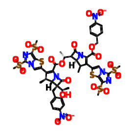 CC1C(c2cn3c(S(C)(=O)=O)nc(S(C)(=O)=O)c3s2)=C(C(=O)OCc2ccc([N+](=O)[O-])cc2)N2C(=O)C([C@@H](C)OC(=O)C3=C(c4cn5c(S(C)(=O)=O)nc(S(C)(=O)=O)c5s4)[C@H](C)[C@@H]4N3C(=O)[C@]4(Cc3ccc([N+](=O)[O-])cc3)[C@@H](C)O)[C@H]12